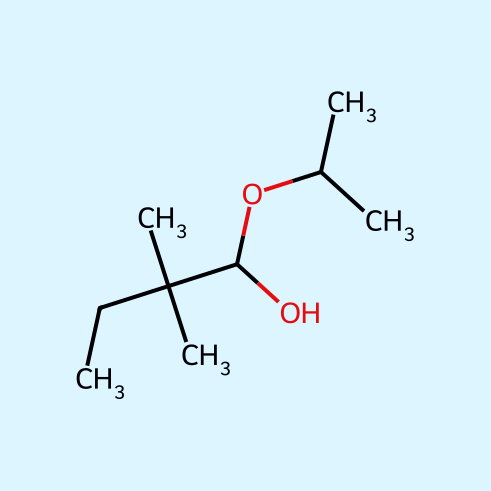 CCC(C)(C)C(O)OC(C)C